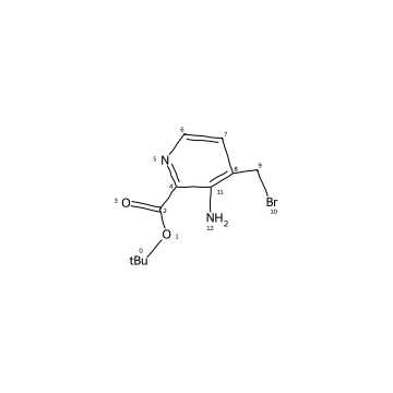 CC(C)(C)OC(=O)c1nccc(CBr)c1N